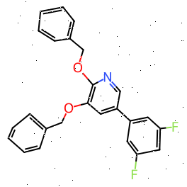 Fc1cc(F)cc(-c2cnc(OCc3ccccc3)c(OCc3ccccc3)c2)c1